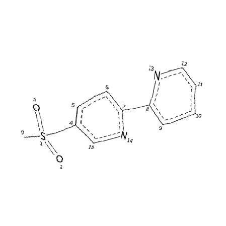 CS(=O)(=O)c1ccc(-c2ccccn2)nc1